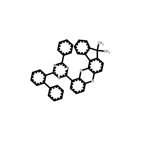 CC1(C)c2ccccc2-c2c1ccc1c2Oc2c(cccc2-c2nc(-c3ccccc3)nc(-c3ccccc3-c3ccccc3)n2)O1